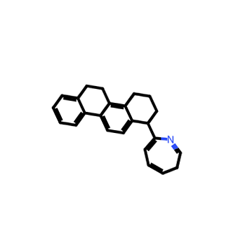 C1=CCC=NC(C2CCCc3c2ccc2c3CCc3ccccc3-2)=C1